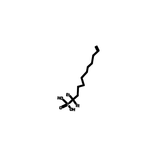 C=CCCCCCCCCC(CC)(CC)P(=O)(O)O